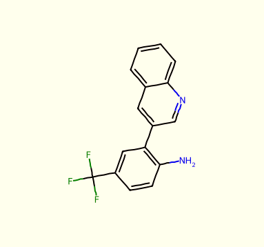 Nc1ccc(C(F)(F)F)cc1-c1cnc2ccccc2c1